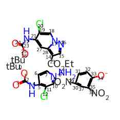 CC(C)(C)OC(=O)Nc1cc[n+](N)cc1Cl.CCOC(=O)c1cnn2cc(Cl)c(NC(=O)OC(C)(C)C)cc12.O=[N+]([O-])c1ccc([O-])c([N+](=O)[O-])c1